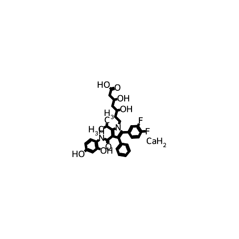 CC(C)c1c(C(=O)Nc2ccc(O)cc2O)c(-c2ccccc2)c(-c2ccc(F)c(F)c2)n1CCC(O)CC(O)CC(=O)O.[CaH2]